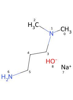 CN(C)CCCN.[Na+].[OH-]